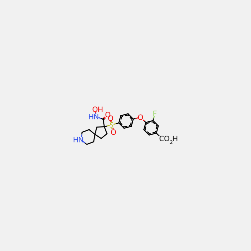 O=C(O)c1ccc(Oc2ccc(S(=O)(=O)C3(C(=O)NO)CCC4(CCNCC4)C3)cc2)c(F)c1